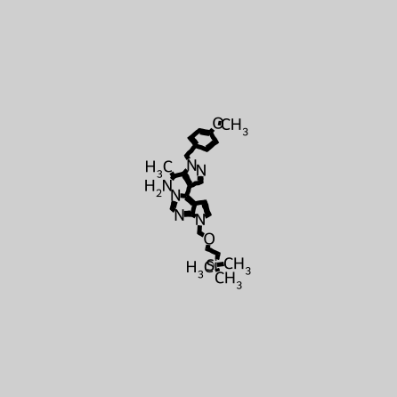 COc1ccc(Cn2ncc(-c3ncnc4c3ccn4COCC[Si](C)(C)C)c2C(C)N)cc1